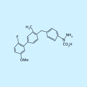 COc1ccc(F)c(-c2ccc(Cc3ccc(N(N)C(=O)O)cc3)c(C)c2)c1